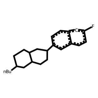 CCCCC1CCC2CC(c3ccc4cc(F)ccc4c3)CCC2C1